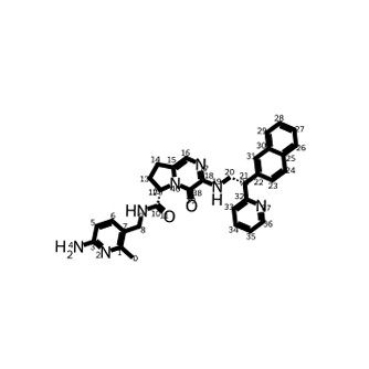 Cc1nc(N)ccc1CNC(=O)[C@@H]1CCc2cnc(NC[C@H](c3ccc4ccccc4c3)c3ccccn3)c(=O)n21